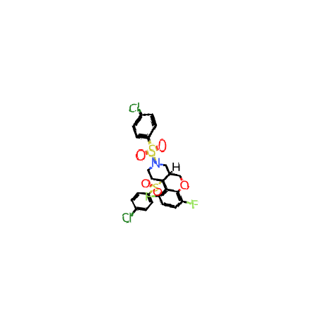 O=S(=O)(c1ccc(Cl)cc1)N1CC[C@@]2(S(=O)(=O)c3ccc(Cl)cc3)c3c(F)ccc(F)c3OC[C@H]2C1